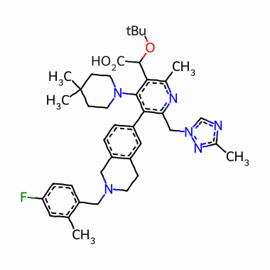 Cc1ncn(Cc2nc(C)c(C(OC(C)(C)C)C(=O)O)c(N3CCC(C)(C)CC3)c2-c2ccc3c(c2)CCN(Cc2ccc(F)cc2C)C3)n1